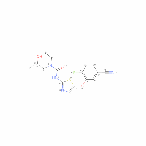 CCN(C[C@H](C)O)C(=O)Nc1ncc(Oc2cc(C#N)ccc2F)s1